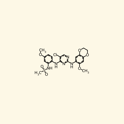 COc1ccc(Nc2nc(Nc3cc4c(cc3OC)OCCO4)ncc2Cl)c(NS(C)(=O)=O)c1